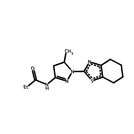 CCC(=O)NC1=NN(c2nc3c(s2)CCCC3)C(C)C1